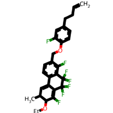 C=CCCc1ccc(OCc2ccc3c(c2F)C(F)(F)C(F)(F)C2=C(F)C(OCC)C(C)C=C23)c(F)c1